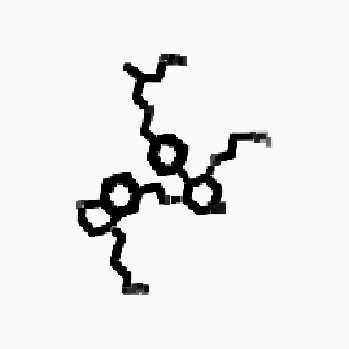 COCCCN1CCOc2ccc(CO[C@H]3CNC[C@@H](OCCN)[C@@H]3c3ccc(COCC(C)COC)cc3)cc21